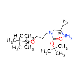 CC(C)(C)OC(=O)N(CCCO[Si](C)(C)C(C)(C)C)C[C@H](N)C1CC1